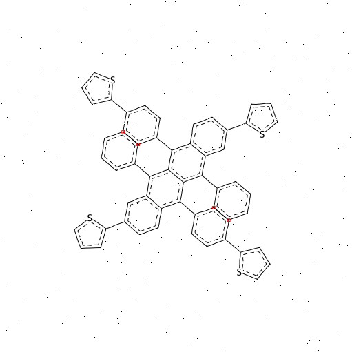 c1ccc(-c2c3cc(-c4cccs4)ccc3c(-c3ccc(-c4cccs4)cc3)c3c(-c4ccccc4)c4cc(-c5cccs5)ccc4c(-c4ccc(-c5cccs5)cc4)c23)cc1